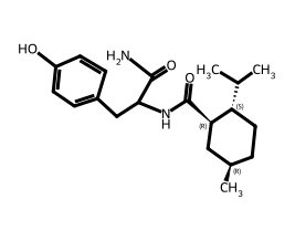 CC(C)[C@@H]1CC[C@@H](C)C[C@H]1C(=O)NC(Cc1ccc(O)cc1)C(N)=O